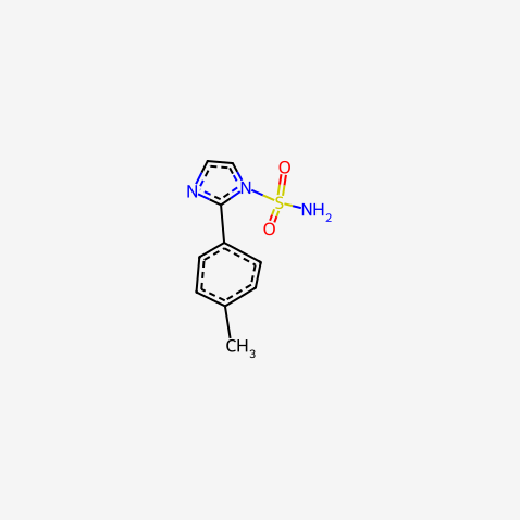 Cc1ccc(-c2nccn2S(N)(=O)=O)cc1